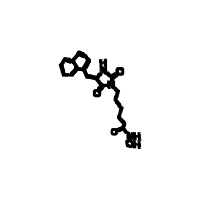 O=C(CCCCCN1C(=O)N/C(=C\c2cccc3ccccc23)C1=O)NO